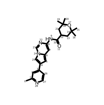 Cc1cc(-c2cc3cc(NC(=O)C4CC(C)(C)OC(C)(C)C4)ncn3c2)ccn1